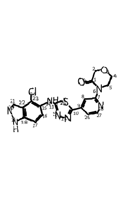 O=C1COCCN1c1cc(-c2nnc(Nc3ccc4[nH]ncc4c3Cl)s2)ccn1